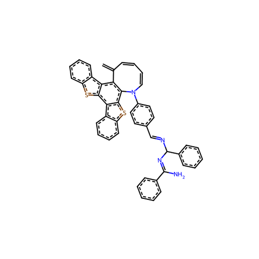 C=C1/C=C\C=C/N(c2ccc(/C=N/C(/N=C(\N)c3ccccc3)c3ccccc3)cc2)c2c1c1c3ccccc3sc1c1c2sc2ccccc21